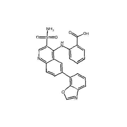 NS(=O)(=O)c1cnc2ccc(-c3cccc4ncoc34)cc2c1Nc1ccccc1C(=O)O